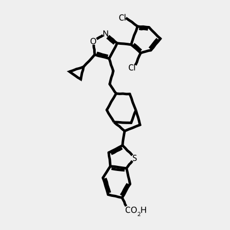 O=C(O)c1ccc2cc(C3CC4CC(CCc5c(-c6c(Cl)cccc6Cl)noc5C5CC5)CC3C4)sc2c1